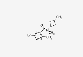 Cc1ncc(Br)cc1C(=O)N(C)C1CC(C)C1